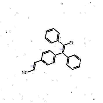 CC/C(=C(\c1ccccc1)c1ccc(/C=C/C#N)cc1)c1ccccc1